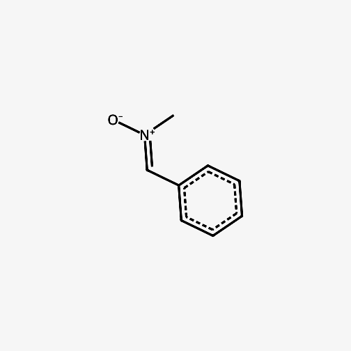 C/[N+]([O-])=C\c1ccccc1